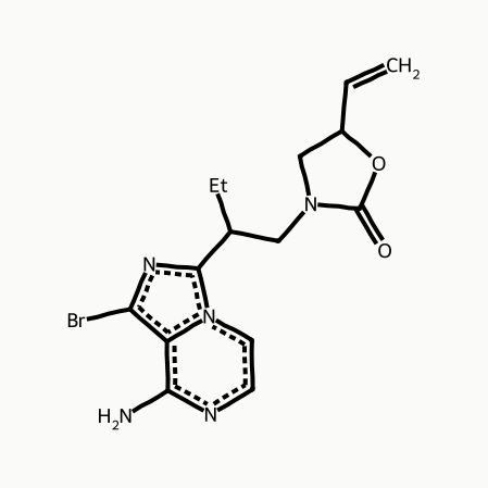 C=CC1CN(CC(CC)c2nc(Br)c3c(N)nccn23)C(=O)O1